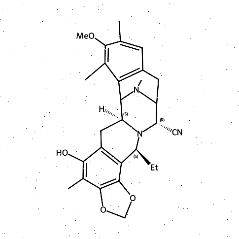 CC[C@H]1c2c(c(O)c(C)c3c2OCO3)C[C@H]2C3c4c(cc(C)c(OC)c4C)CC([C@H](C#N)N12)N3C